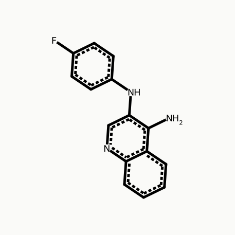 Nc1c(Nc2ccc(F)cc2)cnc2ccccc12